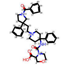 O=C(O)C1COCCN1C(=O)NC1(c2ccccc2)CCN(CCC2(c3ccccc3)CCN(C(=O)c3ccccc3)C2)CC1